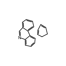 C1=CCCC=C1.c1ccc2c(c1)cnc1ccccc12